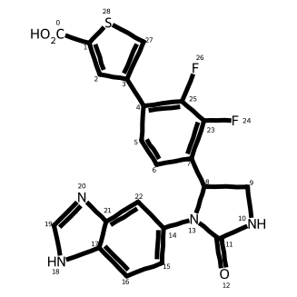 O=C(O)c1cc(-c2ccc(C3CNC(=O)N3c3ccc4[nH]cnc4c3)c(F)c2F)cs1